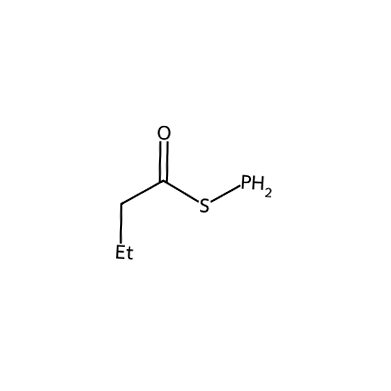 CCCC(=O)SP